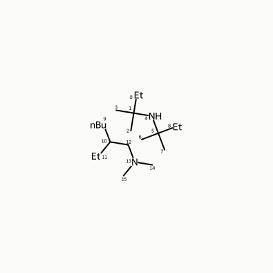 CCC(C)(C)NC(C)(C)CC.CCCCC(CC)CN(C)C